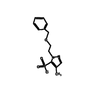 Cc1cnn(CCOCc2ccccc2)c1S(=O)(=O)Cl